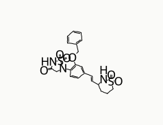 O=C1CN(c2ccc(C=CC3CCCS(=O)(=O)N3)cc2OCc2ccccc2)S(=O)(=O)N1